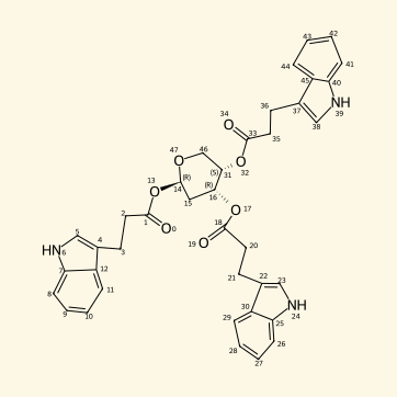 O=C(CCc1c[nH]c2ccccc12)O[C@@H]1C[C@@H](OC(=O)CCc2c[nH]c3ccccc23)[C@@H](OC(=O)CCc2c[nH]c3ccccc23)CO1